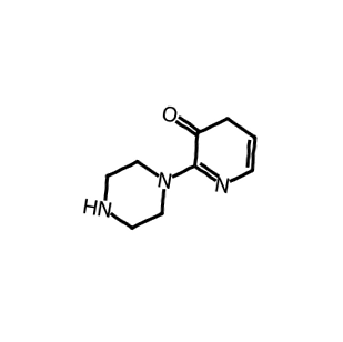 O=C1CC=CN=C1N1CCNCC1